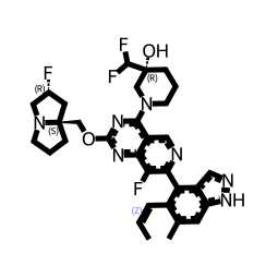 C/C=C\c1c(C)cc2[nH]ncc2c1-c1ncc2c(N3CCC[C@](O)(C(F)F)C3)nc(OC[C@@]34CCCN3C[C@H](F)C4)nc2c1F